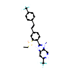 CCS(=O)(=O)c1cc(/C=C/c2ccc(C(F)(F)F)cc2)ccc1-c1nc2cc(C(F)(F)F)ncc2n1C